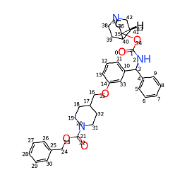 O=C(N[C@@H](c1ccccc1)c1cccc(OCC2CCN(C(=O)OCc3ccccc3)CC2)c1)O[C@H]1CN2CCC1CC2